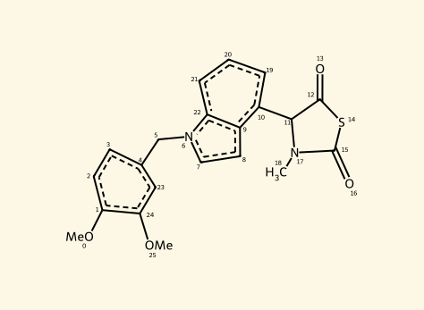 COc1ccc(Cn2ccc3c(C4C(=O)SC(=O)N4C)cccc32)cc1OC